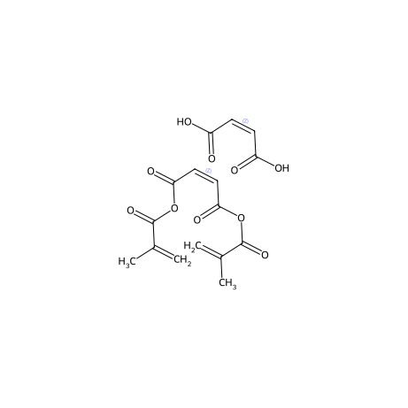 C=C(C)C(=O)OC(=O)/C=C\C(=O)OC(=O)C(=C)C.O=C(O)/C=C\C(=O)O